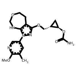 COc1ncc(-n2nc(OC[C@@H]3C[C@H]3OC(N)=O)c3c2NCOCC3)cc1C